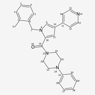 Cc1ccccc1Cn1cc(-c2ccncc2)cc1C(=O)N1CCN(c2ccccc2)CC1